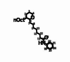 CCCCCCCCC1CCCOC1CCCCCCCC(=O)Nc1ccccc1